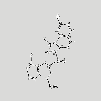 CC(=O)NCCN(Cc1ccccc1F)C(=O)c1nn(C)c2c1COc1ccc(Br)cc1-2